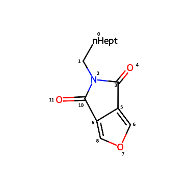 CCCCCCCCN1C(=O)c2cocc2C1=O